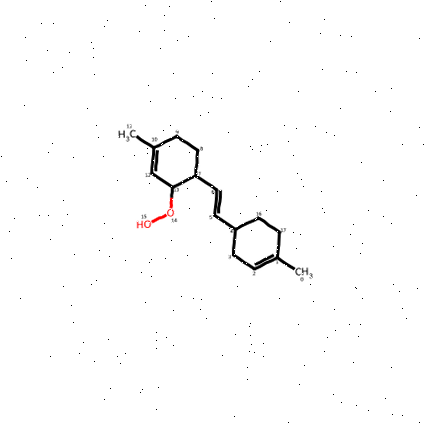 CC1=CCC(C=CC2CCC(C)=CC2OO)CC1